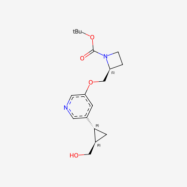 CC(C)(C)OC(=O)N1CC[C@H]1COc1cncc([C@@H]2C[C@H]2CO)c1